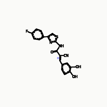 N#C/C(=C\c1ccc(O)c(O)c1)C(=O)Nc1nc(-c2ccc(F)cc2)cs1